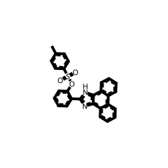 Cc1ccc(S(=O)(=O)Oc2ccccc2-c2nc3c4ccccc4c4ccccc4c3[nH]2)cc1